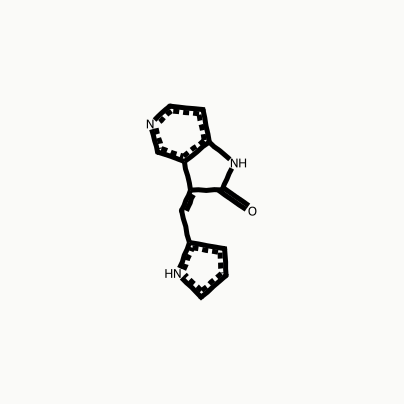 O=C1Nc2ccncc2C1=Cc1ccc[nH]1